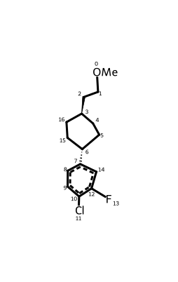 COCC[C@H]1CC[C@H](c2ccc(Cl)c(F)c2)CC1